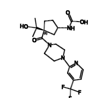 CC(C)(O)[C@@]1(C(=O)N2CCN(c3cc(C(F)(F)F)ccn3)CC2)CCC(NC(=O)O)C1